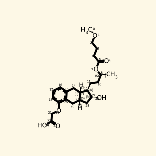 COCCCC(=O)O[C@@H](C)CC[C@@H]1[C@H]2Cc3cccc(OCC(=O)O)c3C[C@H]2C[C@H]1O